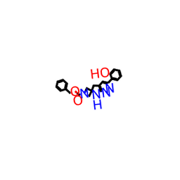 O=C(OCc1ccccc1)N1CC2(Cc3cc(-c4ccccc4O)nnc3N2)C1